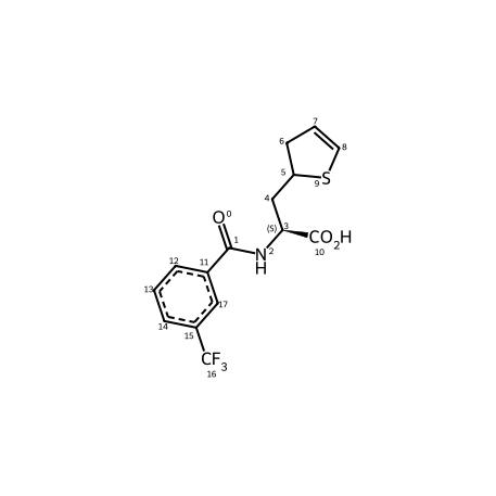 O=C(N[C@@H](CC1CC=CS1)C(=O)O)c1cccc(C(F)(F)F)c1